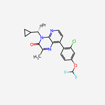 CCC[C@@H](C1CC1)n1c(=O)c(C)nc2c(-c3ccc(OC(F)F)cc3Cl)ccnc21